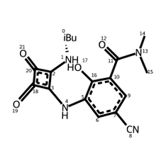 CC[C@@H](C)Nc1c(Nc2cc(C#N)cc(C(=O)N(C)C)c2O)c(=O)c1=O